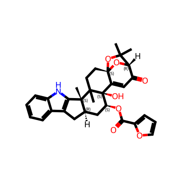 CC1(C)O[C@@]23CCC4(C)[C@@]5(C)c6[nH]c7ccccc7c6C[C@@H]5C[C@H](OC(=O)c5ccco5)[C@@]4(O)C2=CC(=O)[C@@H]1O3